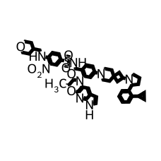 C[C@@H]1CN(c2cc(N3CCC4(CC3)CC(N3CCCC3c3ccccc3C3CC3)C4)ccc2C(=O)NS(=O)(=O)c2ccc(NCC3CCOCC3)c([N+](=O)[O-])c2)c2cc3cc[nH]c3nc2O1